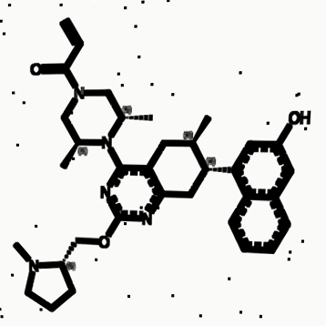 C=CC(=O)N1C[C@H](C)N(c2nc(OC[C@@H]3CCCN3C)nc3c2C[C@@H](C)[C@H](c2cc(O)cc4ccccc24)C3)[C@@H](C)C1